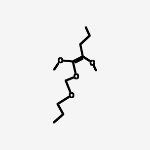 CCCOCO/C(OC)=C(/CCC)OC